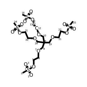 CS(=O)(=O)OCCOCC(COCCOS(C)(=O)=O)(COCCOS(C)(=O)=O)COCCOS(C)(=O)=O